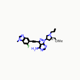 C=CCN1CC(n2nc(C#Cc3cc4ncn(C)c4cc3F)c3c(N)ncnc32)C[C@@H]1COC